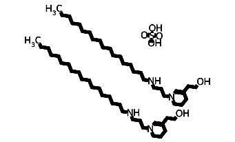 CCCCCCCCCCCCCCCCCCNCCCN1C=C(CCO)CCC1.CCCCCCCCCCCCCCCCCCNCCCN1C=C(CCO)CCC1.O=S(=O)(O)O